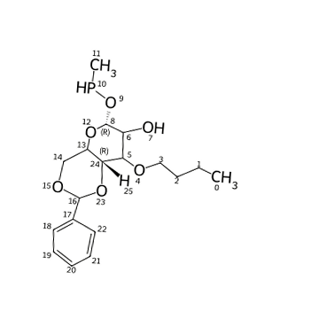 CCCCOC1C(O)[C@@H](OPC)OC2COC(c3ccccc3)O[C@H]21